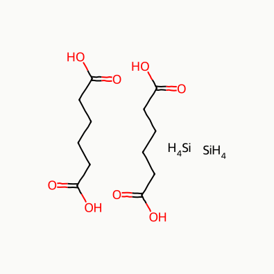 O=C(O)CCCCC(=O)O.O=C(O)CCCCC(=O)O.[SiH4].[SiH4]